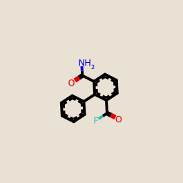 NC(=O)c1cccc(C(=O)F)c1-c1ccccc1